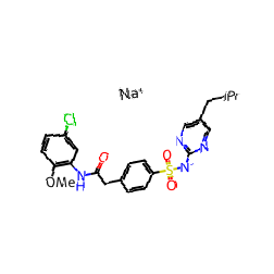 COc1ccc(Cl)cc1NC(=O)Cc1ccc(S(=O)(=O)[N-]c2ncc(CC(C)C)cn2)cc1.[Na+]